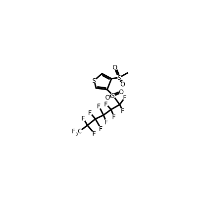 CS(=O)(=O)c1cscc1S(=O)(=O)C(F)(F)C(F)(F)C(F)(F)C(F)(F)C(F)(F)C(F)(F)F